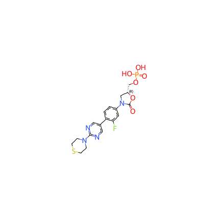 O=C1O[C@@H](COP(=O)(O)O)CN1c1ccc(-c2cnc(N3CCSCC3)nc2)c(F)c1